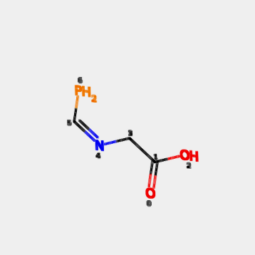 O=C(O)C/N=C\P